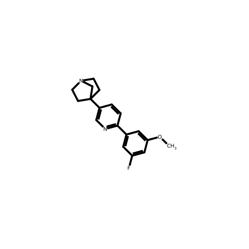 COc1cc(F)cc(-c2ccc(C34CCN(CC3)C4)cn2)c1